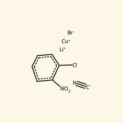 O=[N+]([O-])c1ccccc1Cl.[Br-].[C-]#N.[Cu+].[Li+]